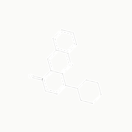 O=c1ccc(C2CCCCC2)c2oc3ccccc3cc1-2